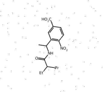 CCC(C(=O)NC(C)c1cc(C(=O)O)ccc1[N+](=O)[O-])C(C)C